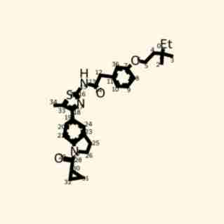 CCC(C)(C)CCOc1cccc(CC(=O)Nc2nc(-c3ccc4c(c3)CCN4C(=O)C3CC3)c(C)s2)c1